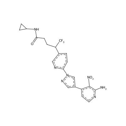 Nc1nccc(-c2cnn(-c3ccc(C(CCC(=O)NC4CC4)C(F)(F)F)cn3)c2)c1[N+](=O)[O-]